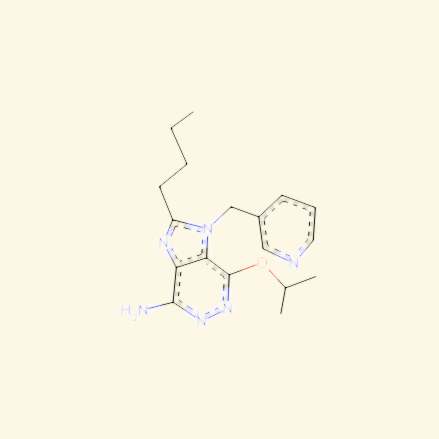 CCCCc1nc2c(N)nnc(OC(C)C)c2n1Cc1cccnc1